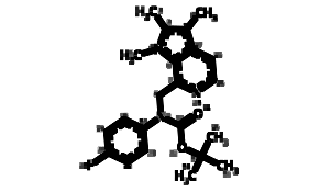 Cc1c(C)n(C)c2c(CN(C(=O)OC(C)(C)C)c3ccc(F)cc3)nccc12